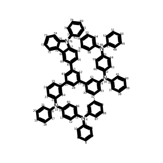 c1ccc(N(c2ccccc2)c2ccc(N(c3ccccc3)c3cccc(-c4cc(-c5cccc(N(c6ccccc6)c6ccc(N(c7ccccc7)c7ccccc7)cc6)c5)cc(-c5ccc6c(c5)c5ccccc5n6-c5ccccc5)c4)c3)cc2)cc1